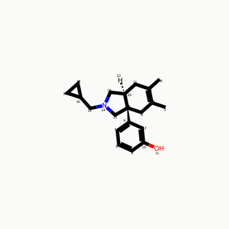 CC1=C(C)C[C@]2(c3cccc(O)c3)CN(CC3CC3)C[C@H]2C1